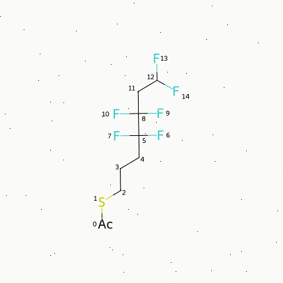 CC(=O)SCCCC(F)(F)C(F)(F)CC(F)F